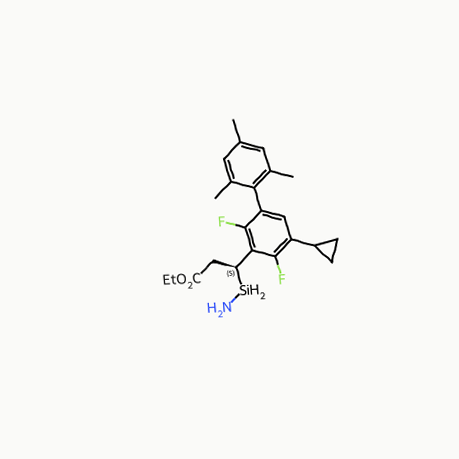 CCOC(=O)C[C@H]([SiH2]N)c1c(F)c(-c2c(C)cc(C)cc2C)cc(C2CC2)c1F